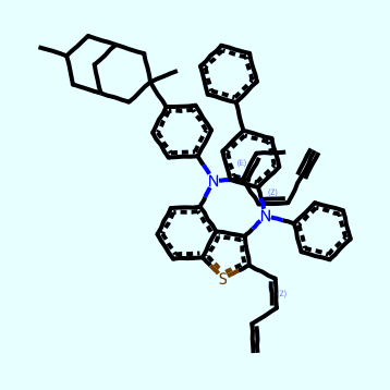 C#C/C=C\C(=C/C)N(c1ccc(C2(C)CC3CC(C)CC(C3)C2)cc1)c1cccc2sc(/C=C\C=C)c(N(c3ccccc3)c3ccc(-c4ccccc4)cc3)c12